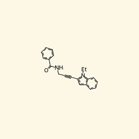 CCn1c(C#CCNC(=O)c2ccccc2)cc2ccccc21